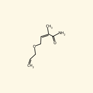 C=CCOCC=C(C)C(N)=O